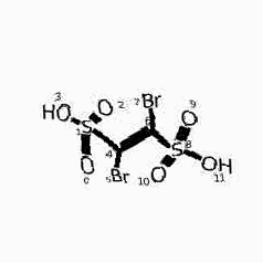 O=S(=O)(O)C(Br)=C(Br)S(=O)(=O)O